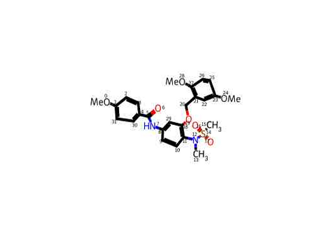 COc1ccc(C(=O)Nc2ccc(N(C)S(C)(=O)=O)c(OCc3cc(OC)ccc3OC)c2)cc1